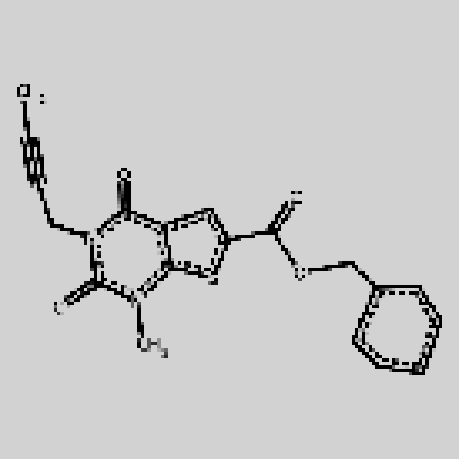 CC#CCn1c(=O)c2cc(C(=O)OCc3ccccc3)sc2n(C)c1=O